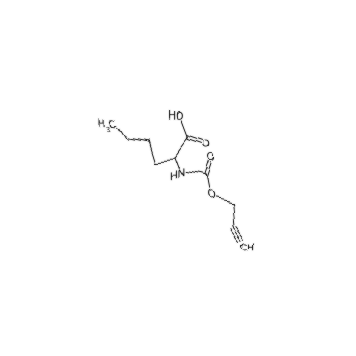 C#CCOC(=O)NC(CCCC)C(=O)O